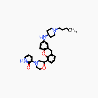 CCCCN1CCC(Nc2ccc3c(c2)Cc2cccc(C4CN(c5ccc[nH]c5=O)CCO4)c2O3)CC1